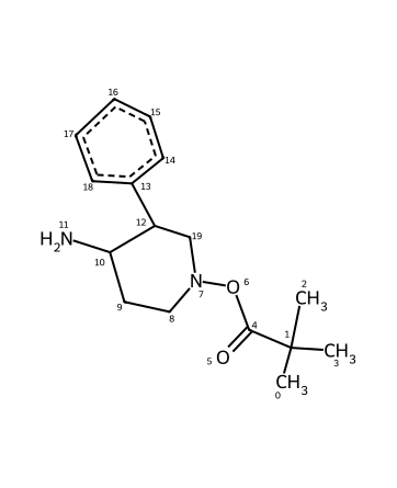 CC(C)(C)C(=O)ON1CCC(N)C(c2ccccc2)C1